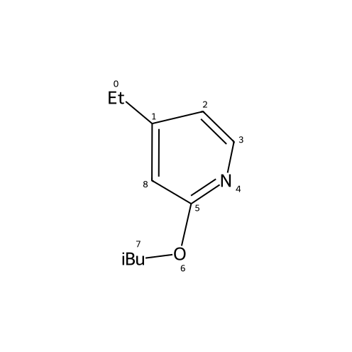 CCc1ccnc(OC(C)CC)c1